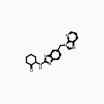 O=C1CCCCC1Nc1nc2ccc(Cn3cnc4cccnc43)cc2s1